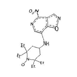 CCC1(CC)CC(Nc2cnc([N+](=O)[O-])c3cnoc23)CC(CC)(CC)N1[O]